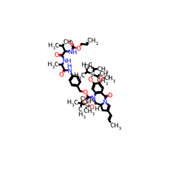 C=CCOC(=O)NC(C(=O)NC(C)C(=O)Nc1ccc(COC(=O)N2c3cc(O[Si](C(C)C)(C(C)C)C(C)C)c(OC)cc3C(=O)N3C=C(/C=C/C)C[C@H]3[C@@H]2O[Si](C)(C)C(C)(C)C)cc1)C(C)C